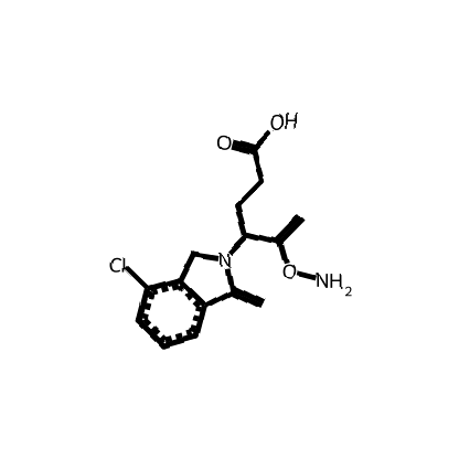 C=C(ON)C(CCC(=O)O)N1Cc2c(Cl)cccc2C1=C